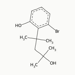 CC(C)(O)CC(C)(C)c1c(O)cccc1Br